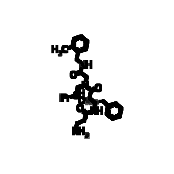 Cc1ccccc1CNC(=O)CN(CSC(C)C)C(=O)[C@@H](O)[C@H](Cc1ccccc1)NC(=O)CCN